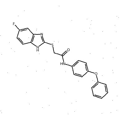 O=C(CSc1nc2cc(F)ccc2[nH]1)Nc1ccc(Oc2ccccc2)cc1